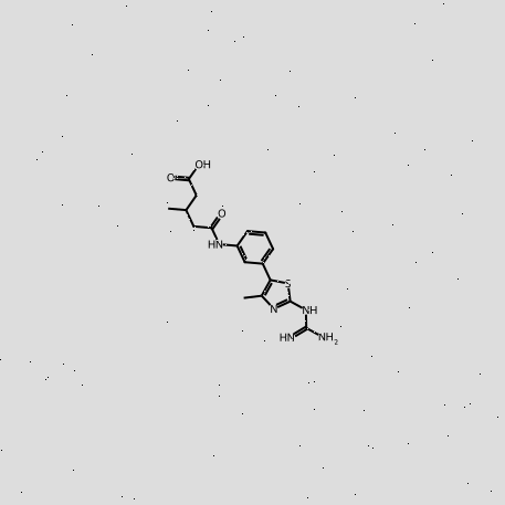 Cc1nc(NC(=N)N)sc1-c1cccc(NC(=O)CC(C)CC(=O)O)c1